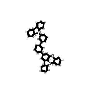 c1cc(-c2cccc(-n3c4ccccc4c4ccccc43)c2)cc(-c2cc3c4c(c2)c2ccccc2n4-c2ccccc2O3)c1